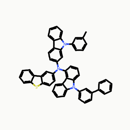 Cc1cccc(-n2c3ccccc3c3ccc(N(c4ccc5sc6ccccc6c5c4)c4cccc5c4c4ccccc4n5-c4cccc(-c5ccccc5)c4)cc32)c1